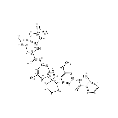 COc1cc(NC(=O)c2ccccc2C)ccc1C(=O)C1(C2=CC=C(OC(=O)[C@H](CCSC)NC(=O)OC(C)(C)C)C=C(Cl)N2)CCCCC1